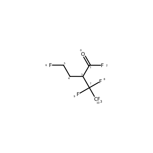 O=C(F)C(CCF)C(F)(F)C(F)(F)F